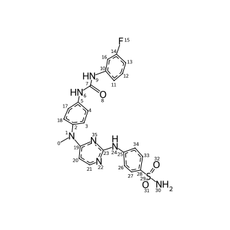 CN(c1ccc(NC(=O)Nc2cccc(F)c2)cc1)c1ccnc(Nc2ccc(S(N)(=O)=O)cc2)n1